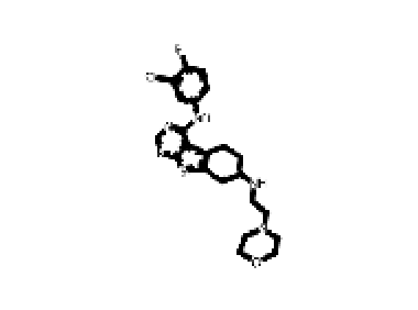 Fc1ccc(Nc2ncnc3sc4c(c23)CCC(NCCN2CCOCC2)C4)cc1Cl